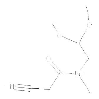 COC(CN(C)C(=O)CC#N)OC